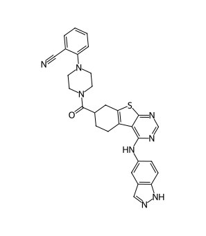 N#Cc1ccccc1N1CCN(C(=O)C2CCc3c(sc4ncnc(Nc5ccc6[nH]ncc6c5)c34)C2)CC1